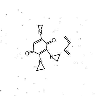 C=CC=C.O=C1C=C(N2CC2)C(=O)C(N2CC2)=C1N1CC1